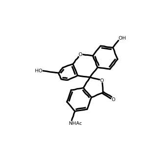 CC(=O)Nc1ccc2c(c1)C(=O)OC21c2ccc(O)cc2Oc2cc(O)ccc21